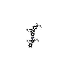 CCN(c1ccc(C(C)=O)cc1)S(=O)(=O)c1ccc(/N=N/c2c(C)nn(-c3ccccc3)c2N)cc1